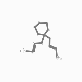 NC=CCC1(CC=CN)CCCCC1